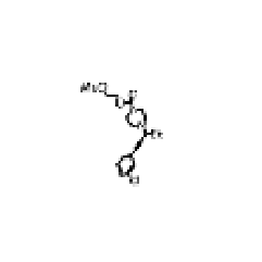 CCC(C#Cc1cccc(Cl)c1)N1CCN(C(=O)OCCOC)CC1